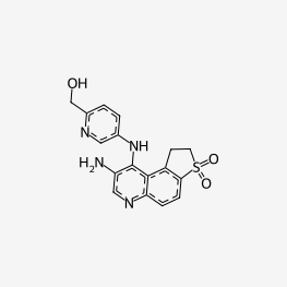 Nc1cnc2ccc3c(c2c1Nc1ccc(CO)nc1)CCS3(=O)=O